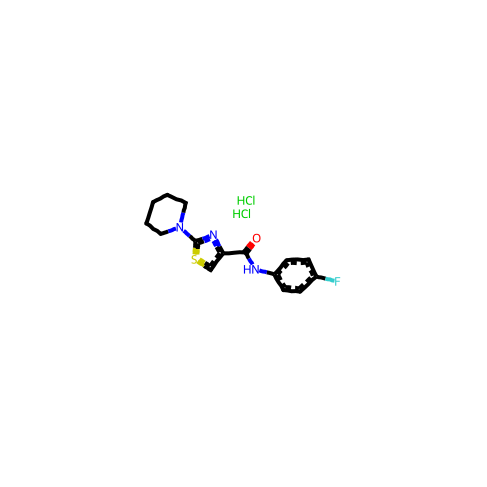 Cl.Cl.O=C(Nc1ccc(F)cc1)c1csc(N2CCCCC2)n1